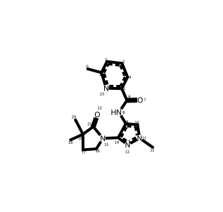 Cc1cccc(C(=O)Nc2cn(C)nc2N2CCC(C)(C)C2=O)n1